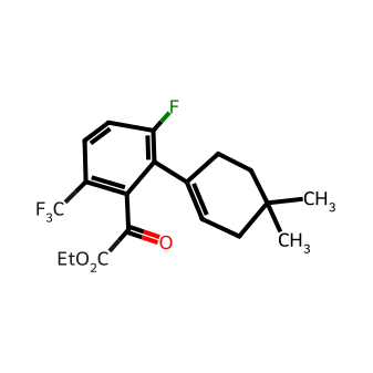 CCOC(=O)C(=O)c1c(C(F)(F)F)ccc(F)c1C1=CCC(C)(C)CC1